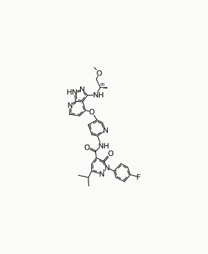 COC[C@@H](C)Nc1n[nH]c2nccc(Oc3ccc(NC(=O)c4cc(C(C)C)nn(-c5ccc(F)cc5)c4=O)nc3)c12